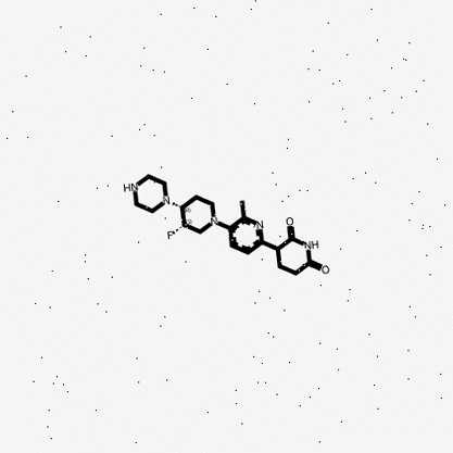 Cc1nc(C2CCC(=O)NC2=O)ccc1N1CC[C@@H](N2CCNCC2)[C@@H](F)C1